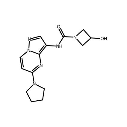 O=C(Nc1cnn2ccc(N3CCCC3)nc12)N1CC(O)C1